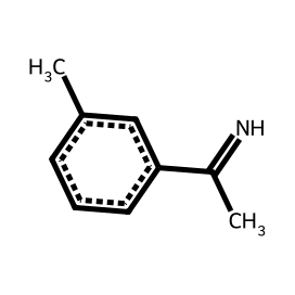 CC(=N)c1cccc(C)c1